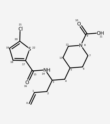 C=CCC(CC1CCN(C(=O)O)CC1)NC(=O)c1ccc(Cl)s1